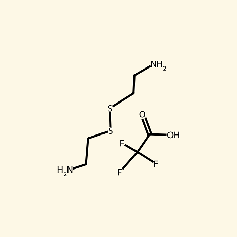 NCCSSCCN.O=C(O)C(F)(F)F